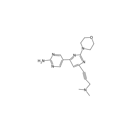 CN(C)CC#Cc1cc(-c2cnc(N)nc2)nc(N2CCOCC2)n1